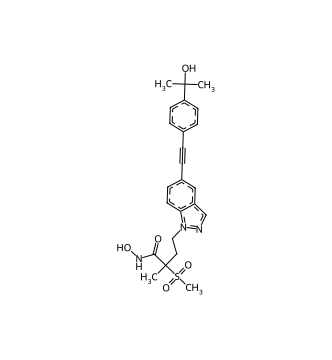 CC(C)(O)c1ccc(C#Cc2ccc3c(cnn3CCC(C)(C(=O)NO)S(C)(=O)=O)c2)cc1